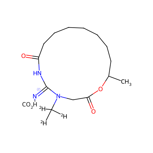 [2H]C([2H])([2H])N1CC(=O)OC(C)CCCCCCCC(=O)N/C1=N/C(=O)O